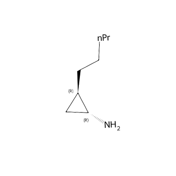 CCCCC[C@@H]1C[C@H]1N